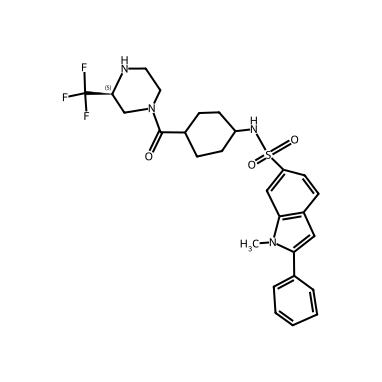 Cn1c(-c2ccccc2)cc2ccc(S(=O)(=O)NC3CCC(C(=O)N4CCN[C@H](C(F)(F)F)C4)CC3)cc21